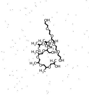 C=C(C)C(=O)O.C=C(C)C(=O)O.CC(O)COC(C)COC(C)COC(C)COC(C)CO.OCCOCCOCCOCCOCCO